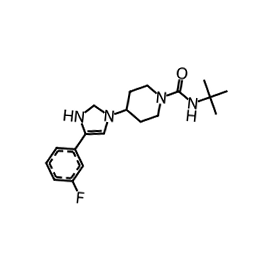 CC(C)(C)NC(=O)N1CCC(N2C=C(c3cccc(F)c3)NC2)CC1